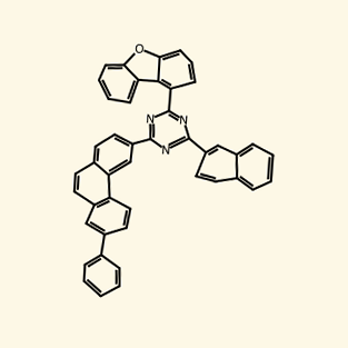 c1ccc(-c2ccc3c(ccc4ccc(-c5nc(-c6ccc7ccccc7c6)nc(-c6cccc7oc8ccccc8c67)n5)cc43)c2)cc1